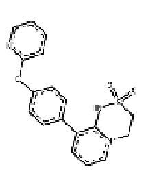 O=S1(=O)CC[n+]2cccc(-c3ccc(Oc4ccccn4)cc3)c2N1